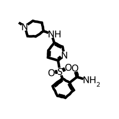 CN1CCC(Nc2ccc(S(=O)(=O)c3ccccc3C(N)=O)nc2)CC1